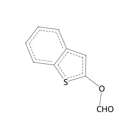 O=COc1cc2ccccc2s1